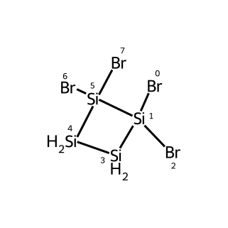 Br[Si]1(Br)[SiH2][SiH2][Si]1(Br)Br